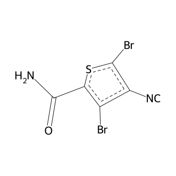 [C-]#[N+]c1c(Br)sc(C(N)=O)c1Br